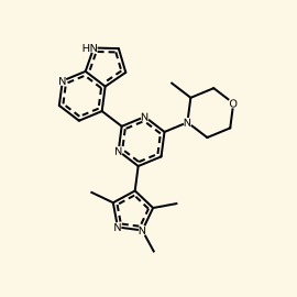 Cc1nn(C)c(C)c1-c1cc(N2CCOCC2C)nc(-c2ccnc3[nH]ccc23)n1